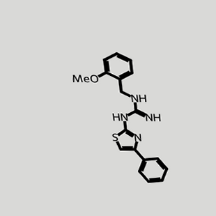 COc1ccccc1CNC(=N)Nc1nc(-c2ccccc2)cs1